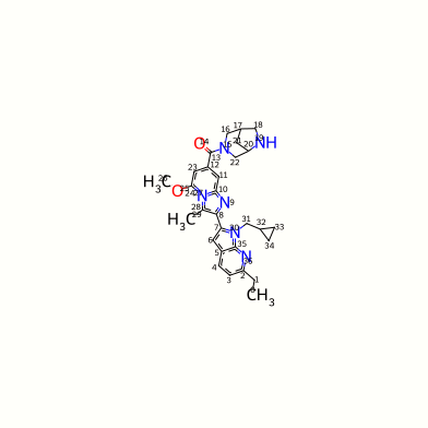 CCc1ccc2cc(-c3nc4cc(C(=O)N5CC6CNC(C6)C5)cc(OC)n4c3C)n(CC3CC3)c2n1